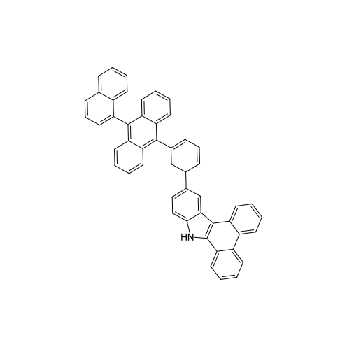 C1=CC(c2ccc3[nH]c4c5ccccc5c5ccccc5c4c3c2)CC(c2c3ccccc3c(-c3cccc4ccccc34)c3ccccc23)=C1